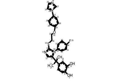 CC(C)(c1ccc(O)c(O)c1)c1cnc(SCCOc2ccc(-n3ccnc3)cc2)n1-c1ccc(F)cc1